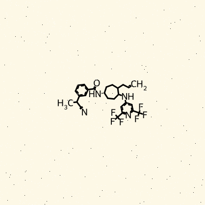 C=CCC1CC[C@@H](NC(=O)c2cccc(C(C)C#N)c2)CCC1Nc1cc(C(F)(F)F)nc(C(F)(F)F)c1